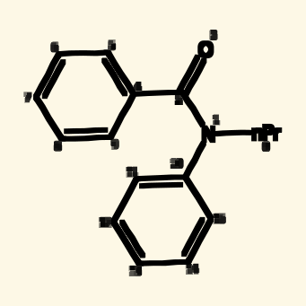 CCCN(C(=O)c1ccccc1)c1ccccc1